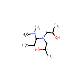 CCC(N(C)C)N(CC(C)O)CC(C)O